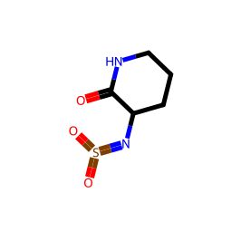 O=C1NCCCC1N=S(=O)=O